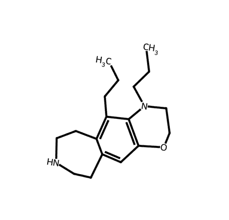 CCCc1c2c(cc3c1N(CCC)CCO3)CCNCC2